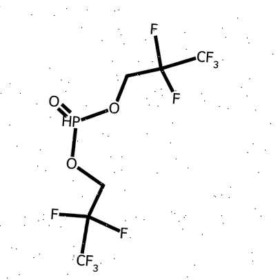 O=[PH](OCC(F)(F)C(F)(F)F)OCC(F)(F)C(F)(F)F